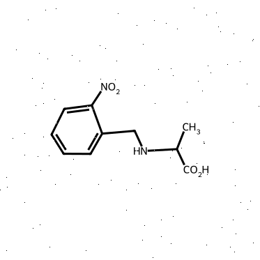 CC(NCc1ccccc1[N+](=O)[O-])C(=O)O